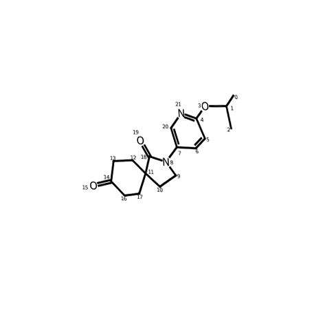 CC(C)Oc1ccc(N2CCC3(CCC(=O)CC3)C2=O)cn1